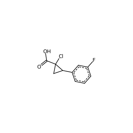 O=C(O)C1(Cl)CC1c1cccc(F)c1